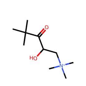 CC(C)(C)C(=O)C(O)C[N+](C)(C)C